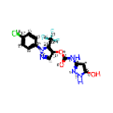 O=C(Nc1cc(O)[nH]n1)Oc1cnn(-c2ccc(Cl)cc2)c1C(F)(F)F